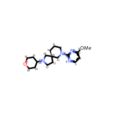 COc1ccnc(N2CCC[C@]3(CCN(C4CCOCC4)C3)C2)n1